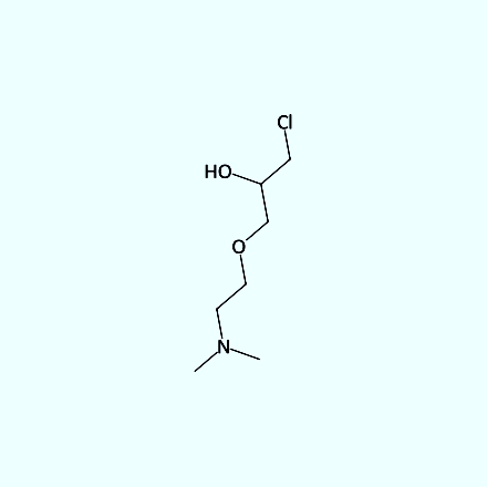 CN(C)CCOCC(O)CCl